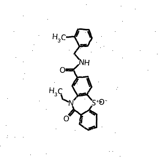 CCN1C(=O)c2ccccc2[S+]([O-])c2ccc(C(=O)NCc3ccccc3C)cc21